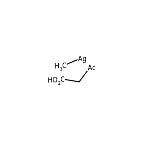 CC(=O)CC(=O)O.[CH3][Ag]